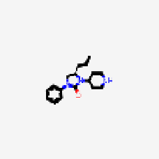 CCC[C@@H]1CN(c2ccccc2)C(=O)N1C1CCNCC1